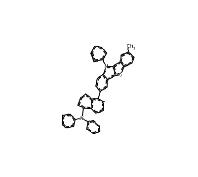 Cc1ccc2sc3c4cc(-c5cccc6c(N(c7ccccc7)c7ccccc7)cccc56)ccc4n(-c4ccccc4)c3c2c1